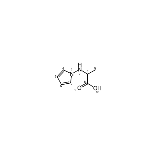 CC(Nn1cccc1)C(=O)O